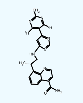 [2H]c1nc(C)nc([2H])c1-c1cc(NC[C@@H](C)c2cccc3c(C(N)=O)ccnc23)ncn1